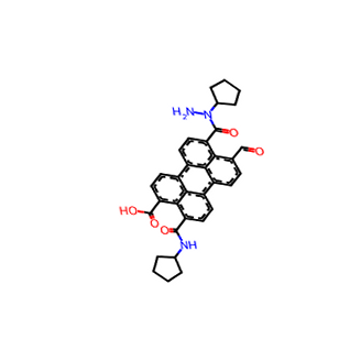 NN(C(=O)c1ccc2c3ccc(C(=O)O)c4c(C(=O)NC5CCCC5)ccc(c5ccc(C=O)c1c25)c43)C1CCCC1